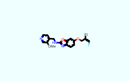 CC/C(=C/F)COc1ccc2nc(NCc3ccncc3OC)oc2c1